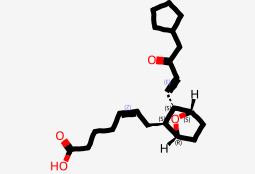 O=C(O)CCC/C=C\C[C@H]1[C@H](/C=C/C(=O)CC2CCCC2)[C@@H]2CC[C@H]1O2